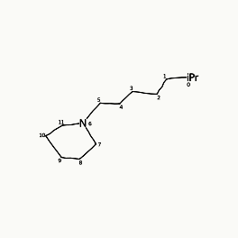 CC(C)CCCCCN1CCCCC1